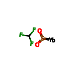 FC(F)F.O=[S](=O)=[Yb]